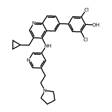 Oc1c(Cl)cc(-c2ccc3ncc(CC4CC4)c(Nc4cncc(CCN5CCCC5)c4)c3c2)cc1Cl